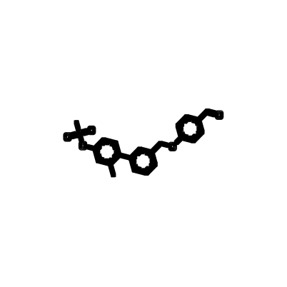 Cc1cc(OS(C)(=O)=O)ccc1-c1cccc(COc2ccc(C=O)cc2)c1